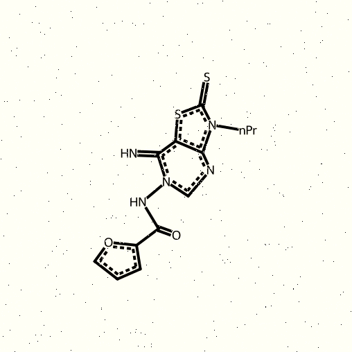 CCCn1c(=S)sc2c(=N)n(NC(=O)c3ccco3)cnc21